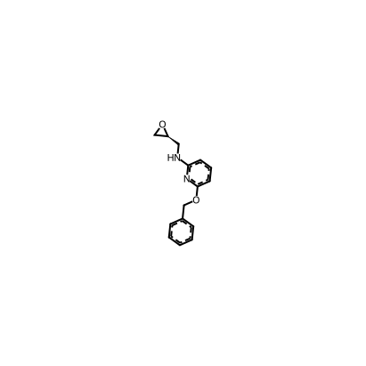 c1ccc(COc2cccc(NC[C@H]3CO3)n2)cc1